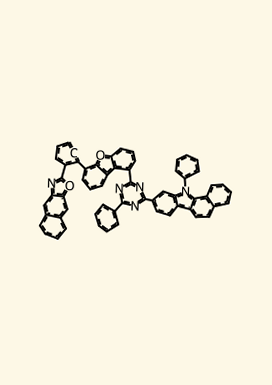 c1ccc(-c2nc(-c3ccc4c5ccc6ccccc6c5n(-c5ccccc5)c4c3)nc(-c3cccc4oc5c(-c6ccccc6-c6nc7cc8ccccc8cc7o6)cccc5c34)n2)cc1